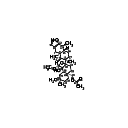 CO[C@@H]1C=C2[C@@]3(C)Cc4cnoc4[C@@H](C)[C@@H]3CC[C@@]2(C)[C@]2(C)CC[C@@]3(COC(C)=O)CCC(C)(C)CC3[C@@]12O